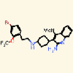 CNc1c(C2CCC(NCCc3ccc(Br)cc3OC(F)(F)F)CC2)c(N)nc2ccccc12